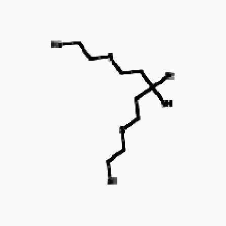 CCC(S)(CCSCCS)CCSCCS